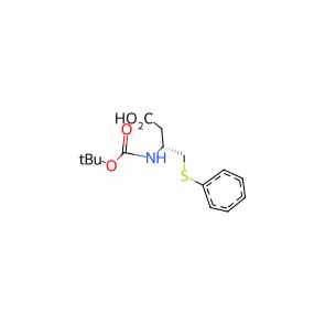 CC(C)(C)OC(=O)N[C@@H](CSc1ccccc1)CC(=O)O